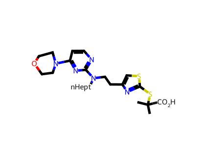 CCCCCCCN(CCc1csc(SC(C)(C)C(=O)O)n1)c1nccc(N2CCOCC2)n1